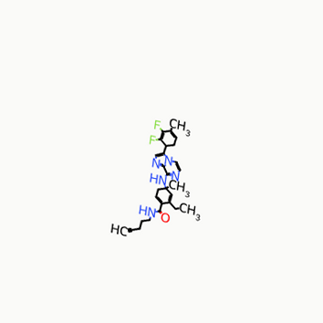 C#CCCCNC(=O)C1=CCC(C)(Nc2nccn3c(C4CC=C(C)C(F)=C4F)cnc23)C=C1CC